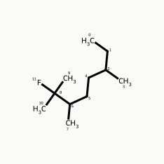 CCC(C)CCC(C)C(C)(C)F